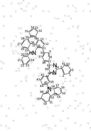 c1ccc(-c2nc(-c3ccc(-c4cccc5c4nc(-c4ccccc4)c4cccc(-c6ccccc6)c45)cc3)cc(-c3cccc(-n4c5ccccc5c5ccccc54)c3)n2)cc1